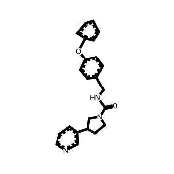 O=C(NCc1ccc(Oc2ccccc2)cc1)N1CCC(c2cccnc2)C1